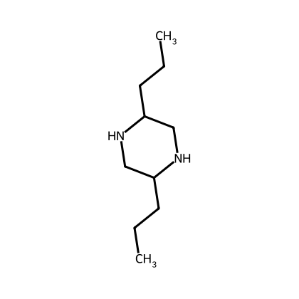 CCCC1CNC(CCC)CN1